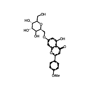 COc1ccc(-c2cc(=O)c3c(O)cc(OC[C@@H]4OC(CO)[C@@H](O)[C@@H](O)C4O)cc3o2)cc1